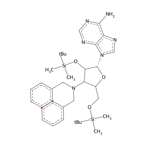 CC(C)(C)[Si](C)(C)OCC1O[C@@H](n2cnc3c(N)ncnc32)C(O[Si](C)(C)C(C)(C)C)C1N(Cc1ccccc1)Cc1ccccc1